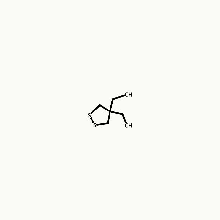 OCC1(CO)CSSC1